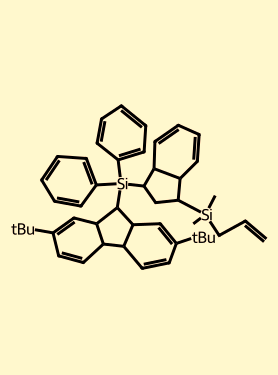 C=CC[Si](C)(C)C1CC([Si](c2ccccc2)(c2ccccc2)C2C3C=C(C(C)(C)C)C=CC3C3C=CC(C(C)(C)C)=CC32)C2C=CC=CC21